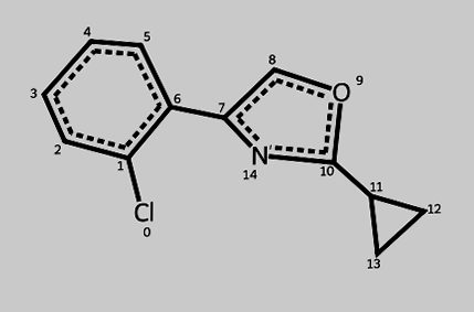 Clc1ccccc1-c1coc(C2CC2)n1